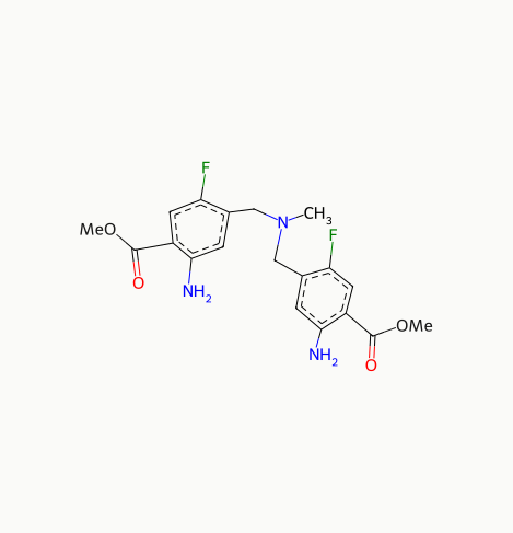 COC(=O)c1cc(F)c(CN(C)Cc2cc(N)c(C(=O)OC)cc2F)cc1N